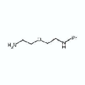 CC(C)NCCOCCN